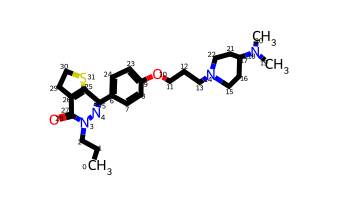 CCCn1nc(-c2ccc(OCCCN3CCC(N(C)C)CC3)cc2)c2c(c1=O)CCS2